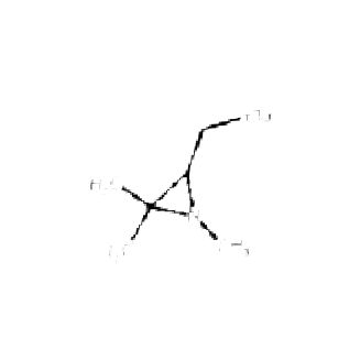 CN1C(CC(C)(C)C)C1(C)C